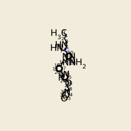 CCCCN/C=C(\C=N)c1cnc(N)c(NCc2cccc(-c3ncc(OCCN4CCOCC4)cn3)c2)n1